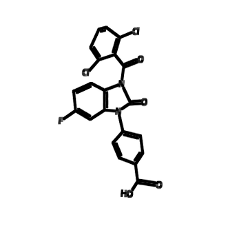 O=C(O)c1ccc(-n2c(=O)n(C(=O)c3c(Cl)cccc3Cl)c3ccc(F)cc32)cc1